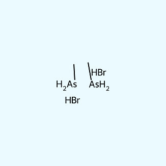 Br.Br.C[AsH2].C[AsH2]